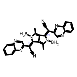 Bn1c(C)c2/c(=C(\C#N)c3cnc4ccccc4n3)n(B)c(C)c2/c1=C(\C#N)c1cnc2ccccc2n1